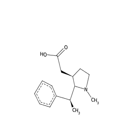 C[C@@H](c1ccccc1)C1[C@@H](CC(=O)O)CCN1C